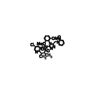 COc1cccc(OC)c1-n1c(Cn2ccccc2=O)nnc1NS(=O)(=O)C(C)C(C)c1ncc(Cl)cn1